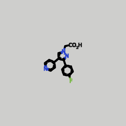 O=C(O)Cn1cc(-c2ccncc2)c(-c2ccc(F)cc2)n1